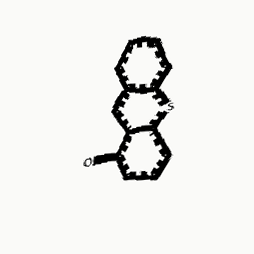 O=c1cccc2sc3ccccc3cc1-2